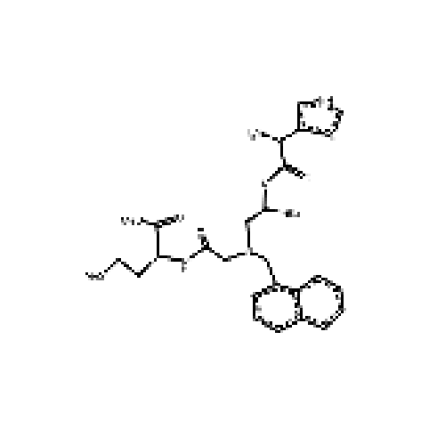 CC[C@H](C)[C@@H](CN(CC(=O)N[C@@H](CCSC)C(=O)OC)Cc1cccc2ccccc12)NC(=O)[C@@H](N)c1c[nH]cn1